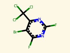 Fc1nc(F)c(Br)c(C(Cl)(Cl)Cl)n1